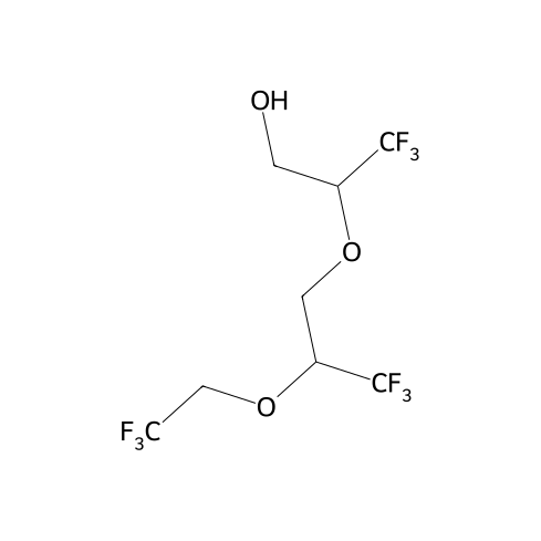 OCC(OCC(OCC(F)(F)F)C(F)(F)F)C(F)(F)F